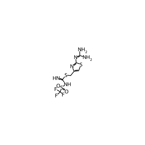 N=C(NS(=O)(=O)C(F)(F)F)SCc1csc(N=C(N)N)n1